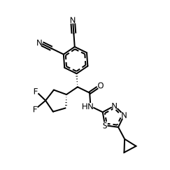 N#Cc1ccc([C@H](C(=O)Nc2nnc(C3CC3)s2)[C@@H]2CCC(F)(F)C2)cc1C#N